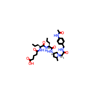 CCC[C@H](NC(=O)CCCC(=O)O)C(=O)N[C@@H](CCC)C(=O)N[C@H]1CC(C)N([C@@H](C)C(=O)NCc2ccc(NC(C)=O)cc2)C1